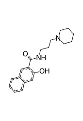 O=C(NCCCN1CCCCC1)c1cc2ccccc2cc1O